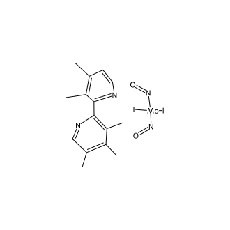 Cc1ccnc(-c2ncc(C)c(C)c2C)c1C.O=[N][Mo]([I])([I])[N]=O